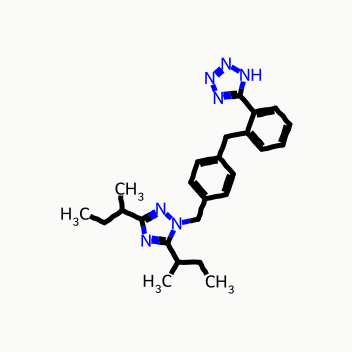 CCC(C)c1nc(C(C)CC)n(Cc2ccc(Cc3ccccc3-c3nnn[nH]3)cc2)n1